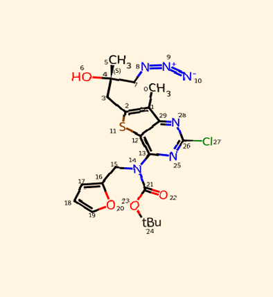 Cc1c(C[C@](C)(O)CN=[N+]=[N-])sc2c(N(Cc3ccco3)C(=O)OC(C)(C)C)nc(Cl)nc12